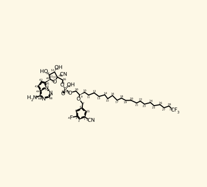 N#Cc1cc(F)cc(CO[C@H](CCCCCCCCCCCCCCCCCCCC(F)(F)F)COP(=O)(O)OC[C@@]2(C#N)O[C@@H](c3ccc4c(N)ncnn34)[C@H](O)[C@@H]2O)c1